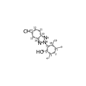 Cc1cc(C)c(O)c(-n2nc3ccc(Cl)cc3n2)c1C